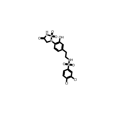 O=C1CN(c2ccc(CCNS(=O)(=O)c3ccc(Cl)c(Cl)c3)cc2O)S(=O)(=O)N1